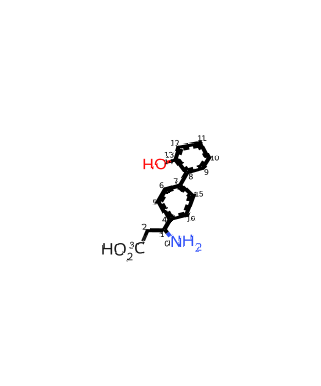 NC(CC(=O)O)c1ccc(-c2ccccc2O)cc1